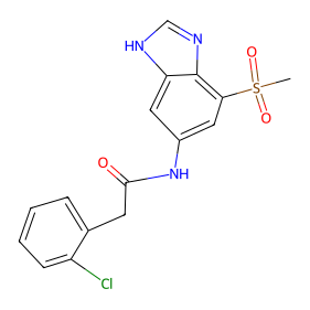 CS(=O)(=O)c1cc(NC(=O)Cc2ccccc2Cl)cc2[nH]cnc12